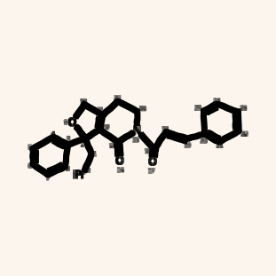 CC(C)CC1(c2ccccc2)OCC2=C1C(=O)N(C(=O)C=Cc1ccccc1)CC2